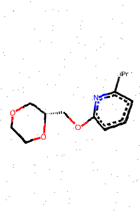 CC(C)c1cccc(OC[C@H]2COCCO2)n1